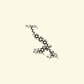 CC(C)CCCCOc1ccc(-c2cnc(-c3ccc(CC(NC(=O)c4ccc(C(C)(C)C)cc4)C(=O)NCCC(=O)OC(C)(C)C)cc3)nc2)cc1